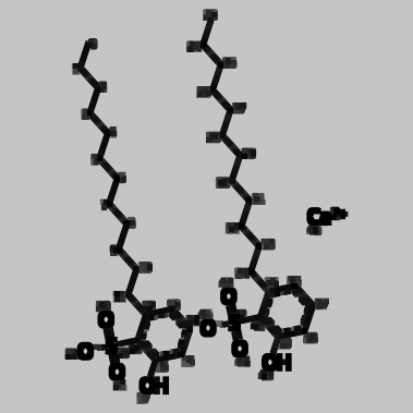 CCCCCCCCCCCCc1cccc(O)c1S(=O)(=O)[O-].CCCCCCCCCCCCc1cccc(O)c1S(=O)(=O)[O-].[Ca+2]